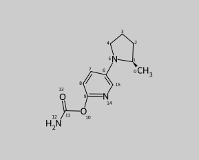 C[C@@H]1CCCN1c1ccc(OC(N)=O)nc1